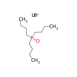 CCCCP(=O)(CCCC)CCCC.[Br-].[Li+]